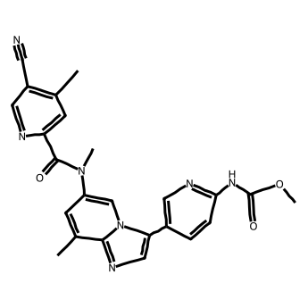 COC(=O)Nc1ccc(-c2cnc3c(C)cc(N(C)C(=O)c4cc(C)c(C#N)cn4)cn23)cn1